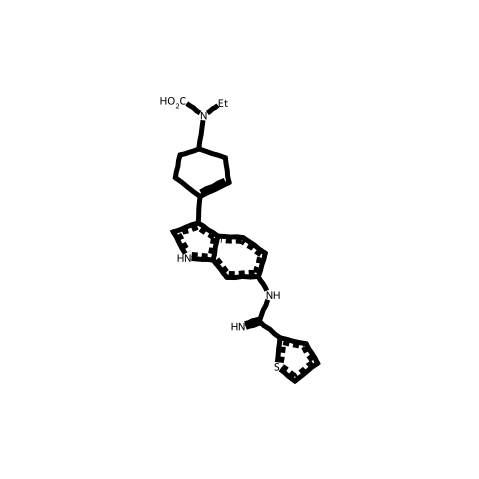 CCN(C(=O)O)C1CC=C(c2c[nH]c3cc(NC(=N)c4cccs4)ccc23)CC1